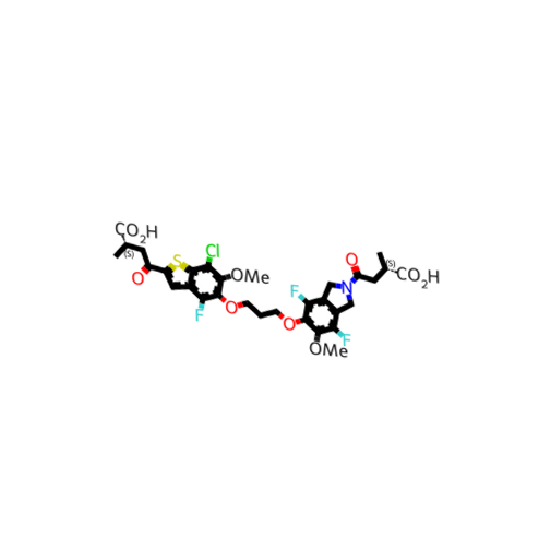 COc1c(F)c2c(c(F)c1OCCCOc1c(OC)c(Cl)c3sc(C(=O)C[C@H](C)C(=O)O)cc3c1F)CN(C(=O)C[C@H](C)C(=O)O)C2